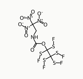 O=C(NCC([N+](=O)[O-])([N+](=O)[O-])[N+](=O)[O-])OC(SF)(SF)C(SF)(SF)SF